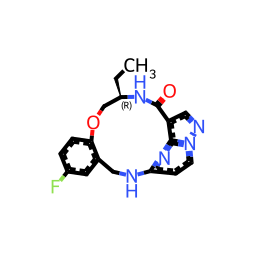 CC[C@@H]1COc2ccc(F)cc2CNc2ccn3ncc(c3n2)C(=O)N1